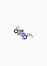 Cc1ccnc2nc(S(=O)(=O)Nc3c(Cl)cccc3Br)nn12